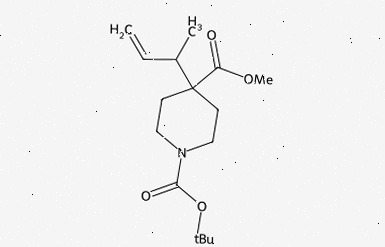 C=CC(C)C1(C(=O)OC)CCN(C(=O)OC(C)(C)C)CC1